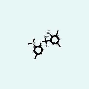 CCCC(CC)(Pc1ccc(C)cc1N(C)C)c1cc(C)cc(C)c1O